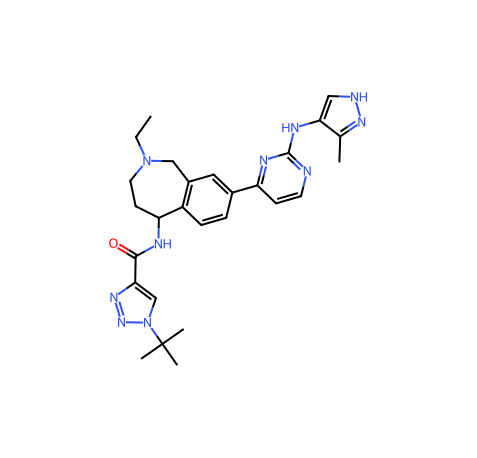 CCN1CCC(NC(=O)c2cn(C(C)(C)C)nn2)c2ccc(-c3ccnc(Nc4c[nH]nc4C)n3)cc2C1